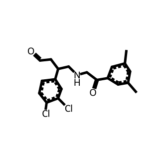 Cc1cc(C)cc(C(=O)CNCC(CC=O)c2ccc(Cl)c(Cl)c2)c1